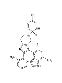 Cc1cccc(C)c1-n1nc2c(c1-c1c(F)cc(C)c3[nH]ncc13)CN(C1(F)C=CC(C(F)(F)F)=CN1)CC2